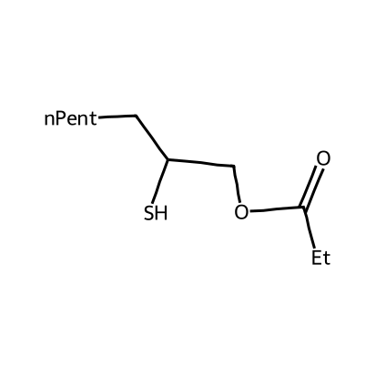 CCCCCCC(S)COC(=O)CC